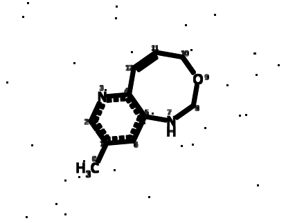 Cc1cnc2c(c1)NCOC/C=C\2